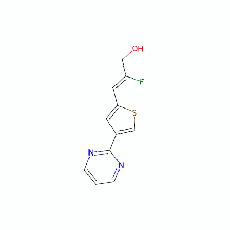 OCC(F)=Cc1cc(-c2ncccn2)cs1